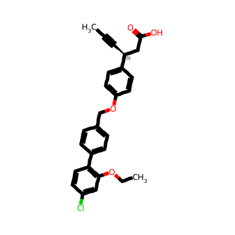 CC#C[C@@H](CC(=O)O)c1ccc(OCc2ccc(-c3ccc(Cl)cc3OCC)cc2)cc1